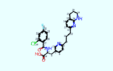 O=C(N[C@@H](Cc1ccc(CCCc2ccc3c(n2)NCCC3)nc1)C(=O)O)c1ccc(F)cc1Cl